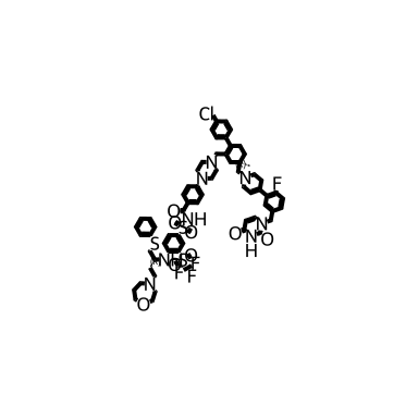 C[C@@]1(CN2CC=C(c3cc(Cn4ccc(=O)[nH]c4=O)ccc3F)CC2)CCC(c2ccc(Cl)cc2)=C(CN2CCN(c3ccc(C(=O)NS(=O)(=O)c4ccc(N[C@H](CCN5CCCOCC5)CSc5ccccc5)c(S(=O)(=O)C(F)(F)F)c4)cc3)CC2)C1